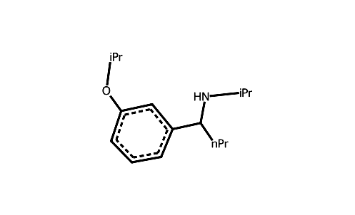 CCCC(NC(C)C)c1cccc(OC(C)C)c1